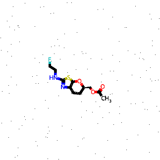 CC(=O)OC[C@H]1[C][C]C2N=C(NCCF)SC2O1